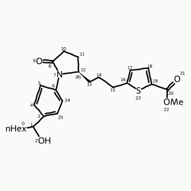 CCCCCCC(O)c1ccc(N2C(=O)CC[C@H]2CCCc2ccc(C(=O)OC)s2)cc1